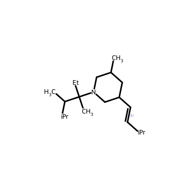 CCC(C)(C(C)C(C)C)N1CC(C)CC(/C=C/C(C)C)C1